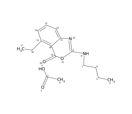 CC(=O)O.CCCCNc1nc2cccc(CC)c2c(=O)o1